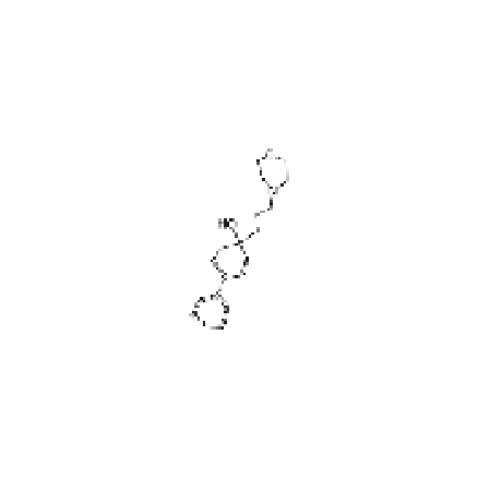 OC1(CCCN2CCOCC2)C=CC(c2ccccc2)=CC1